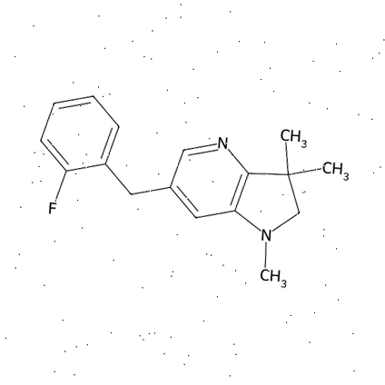 CN1CC(C)(C)c2ncc(Cc3ccccc3F)cc21